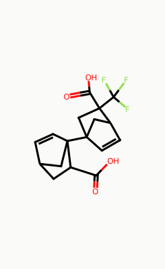 O=C(O)C1CC2C=CC1(C13C=CC(C1)C(C(=O)O)(C(F)(F)F)C3)C2